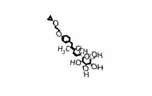 C=C(/C=C\C(Cl)=C(/C)Cc1ccc(OCCOC2CC2)cc1)[C@@H]1O[C@H](CO)[C@@H](O)[C@H](O)[C@H]1O